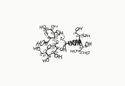 COC(=O)C(C)=O.O=C[C@H](O)[C@@H](O)[C@H](O)[C@H](O)CO.OC[C@H]1O[C@@H](O[C@H]2[C@H](O)[C@@H](O)[C@H](O)O[C@@H]2CO)[C@H](O)[C@@H](O)[C@@H]1O